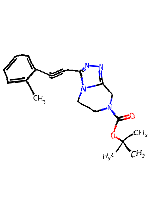 Cc1ccccc1C#Cc1nnc2n1CCN(C(=O)OC(C)(C)C)C2